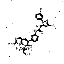 CNc1ncc2cc(-c3cccc(NC(=O)Nc4cc(C(C)(C)C)nn4-c4cccc(F)c4)c3)c(=O)n(C(C)(C)CO)c2n1